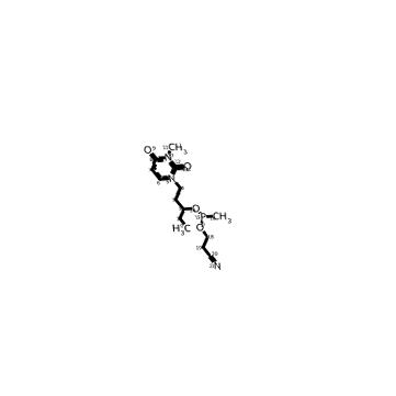 CCC(CCn1ccc(=O)n(C)c1=O)OP(C)OCCC#N